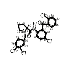 C[C@]1(C(=O)Nc2ccc(Cl)cc2C(=O)c2ccccc2Cl)CCCN1Cc1ccc(Cl)c(Cl)c1